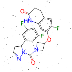 O=C1CCc2cc(F)c(OC3CN(C(=O)N4N=CCC4c4cc(F)cc(F)c4)C3)cc2N1